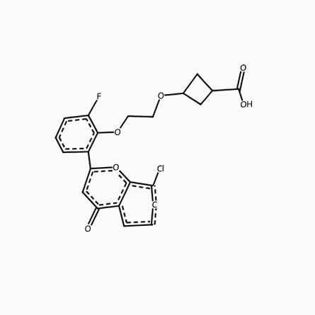 O=C(O)C1CC(OCCOc2c(F)cccc2-c2cc(=O)c3cccc(Cl)c3o2)C1